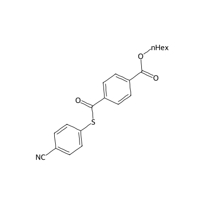 CCCCCCOC(=O)c1ccc(C(=O)Sc2ccc(C#N)cc2)cc1